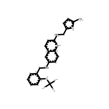 Cc1ccc(CNc2ccc3cc(NCc4ccccc4OC(F)(F)F)ccc3n2)o1